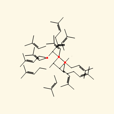 CC(C)=CCO[C@@](CC=C(C)C)([C@](CC=C(C)C)(OCC=C(C)C)[C@](CC=C(C)C)(OCC=C(C)C)C(O)(CC=C(C)C)CC=C(C)C)[C@@](CC=C(C)C)(OCC=C(C)C)C(=O)CC=C(C)C